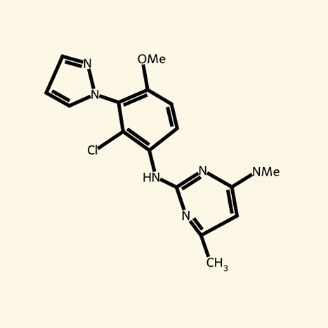 CNc1cc(C)nc(Nc2ccc(OC)c(-n3cccn3)c2Cl)n1